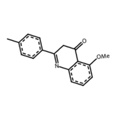 COc1cccc2c1C(=O)CC(c1ccc(C)cc1)=N2